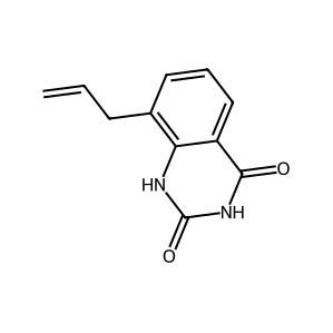 C=CCc1cccc2c(=O)[nH]c(=O)[nH]c12